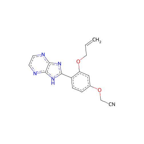 C=CCOc1cc(OCC#N)ccc1-c1nc2nccnc2[nH]1